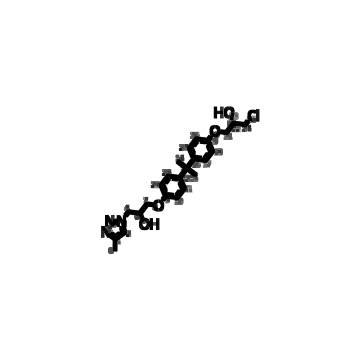 Cc1cn(C[C@H](O)COc2ccc(C(C)(C)c3ccc(OC[C@H](O)CCl)cc3)cc2)nn1